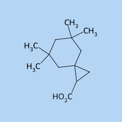 CC1(C)CC(C)(C)CC2(CC2C(=O)O)C1